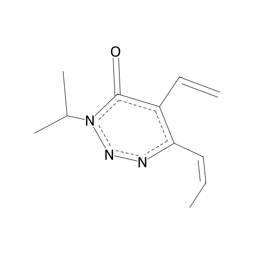 C=Cc1c(/C=C\C)nnn(C(C)C)c1=O